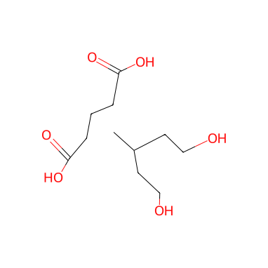 CC(CCO)CCO.O=C(O)CCCC(=O)O